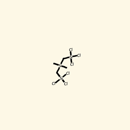 C[Si](C)(C[Si](Cl)(Cl)Cl)C[Si](Cl)(Cl)Cl